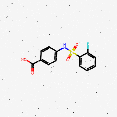 O=C(O)c1ccc(NS(=O)(=O)c2ccccc2F)cc1